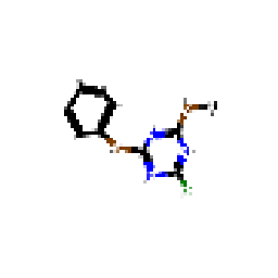 CCSc1nc(Cl)nc(Sc2ccccc2)n1